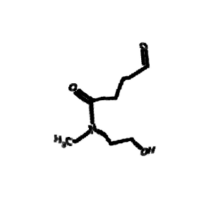 CN(CCO)C(=O)CCC=O